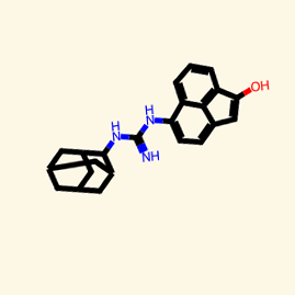 N=C(Nc1ccc2c3c(cccc13)C(O)=C2)NC1C2CC3CC(C2)CC1C3